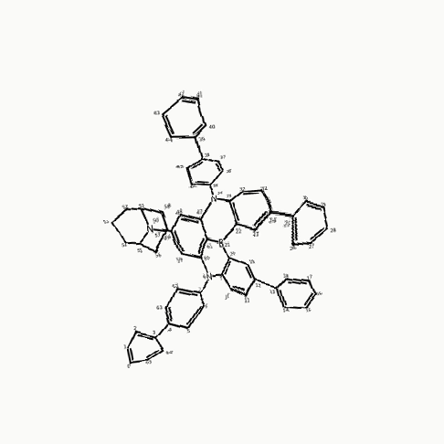 c1ccc(-c2ccc(N3c4ccc(-c5ccccc5)cc4B4c5cc(-c6ccccc6)ccc5N(c5ccc(-c6ccccc6)cc5)c5cc(N6C7CCCC6CCC7)cc3c54)cc2)cc1